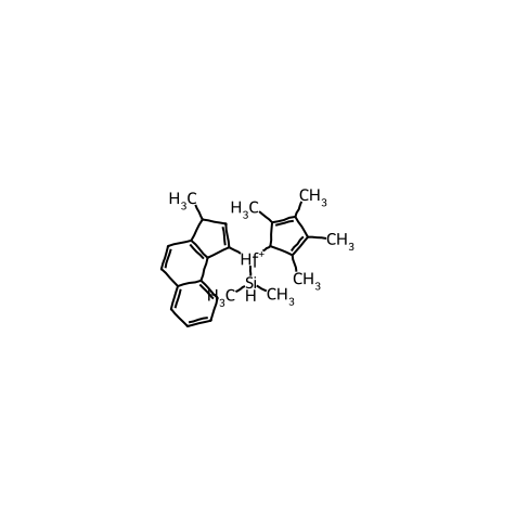 CC1=C(C)[CH]([Hf+]([C]2=CC(C)c3ccc4ccccc4c32)[SiH](C)C)C(C)=C1C